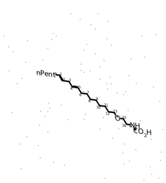 CCCCCC=CCC=CCCCCCCCCOCCNC(=O)O